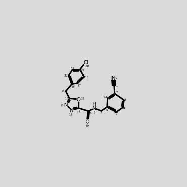 N#Cc1cccc(CNC(=O)c2nnc(Cc3ccc(Cl)cc3)o2)c1